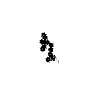 C/C=C\c1c(N)n(-c2ccccc2)c2ccc(-c3ccc(-c4cccc(-c5ccc6c(-c7ccc8c(c7)CCC=C8)c7ccccc7c(-c7ccc8ccccc8c7)c6c5)c4)cc3)cc12